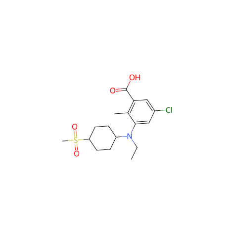 CCN(c1cc(Cl)cc(C(=O)O)c1C)C1CCC(S(C)(=O)=O)CC1